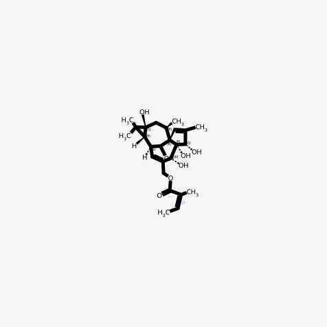 C/C=C(/C)C(=O)OCC1=C[C@@H]2C(O)[C@]3(C=C(C)[C@H](O)[C@@]3(O)[C@@H]1O)[C@H](C)C[C@]1(O)[C@H]2C1(C)C